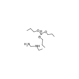 CCCO[SiH](OCCC)OCCC.CCNCN